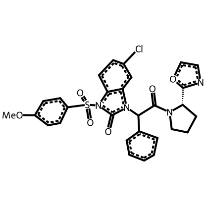 COc1ccc(S(=O)(=O)n2c(=O)n(C(C(=O)N3CCC[C@H]3c3ncco3)c3ccccc3)c3cc(Cl)ccc32)cc1